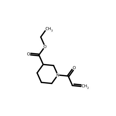 C=[C]C(=O)N1CCCC(C(=O)OCC)C1